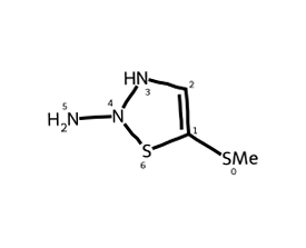 CSC1=CNN(N)S1